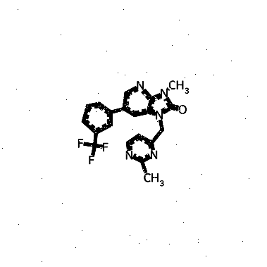 Cc1nccc(Cn2c(=O)n(C)c3ncc(-c4cccc(C(F)(F)F)c4)cc32)n1